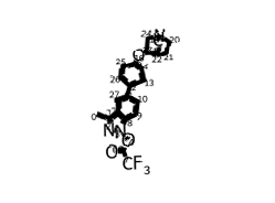 Cc1nn(OC(=O)C(F)(F)F)c2ccc(-c3ccc(OC4CN5CCC4CC5)cc3)cc12